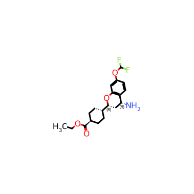 CCOC(=O)[C@H]1CC[C@H]([C@H]2C[C@@H](N)c3ccc(OC(F)F)cc3O2)CC1